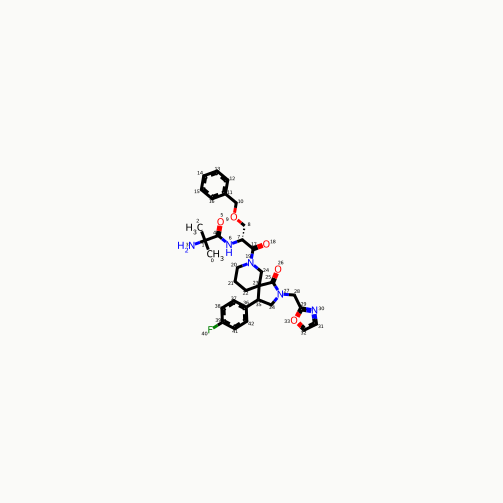 CC(C)(N)C(=O)N[C@H](COCc1ccccc1)C(=O)N1CCCC2(C1)C(=O)N(Cc1ncco1)CC2c1ccc(F)cc1